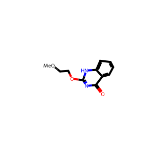 COCCOc1nc(=O)c2ccccc2[nH]1